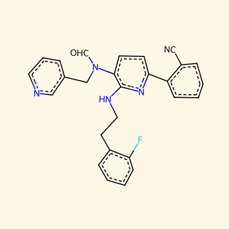 N#Cc1ccccc1-c1ccc(N(C=O)Cc2cccnc2)c(NCCc2ccccc2F)n1